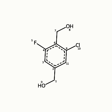 OCc1cc(F)c(CO)c(Cl)c1